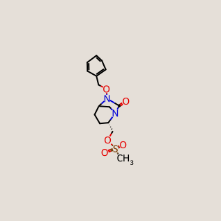 CS(=O)(=O)OC[C@@H]1CCC2CN1C(=O)N2OCc1ccccc1